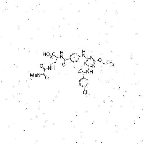 CNC(=O)C(=O)NCC[C@H](NC(=O)c1ccc(Nc2nc(NC3(c4ccc(Cl)cc4)CC3)nc(OCC(F)(F)F)n2)cc1)C(=O)O